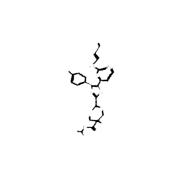 CC(C)NC(=O)C1(C)COC(c2nc(-c3ccc(F)cc3)c(-c3ccnc(NCCCO)n3)[nH]2)OC1